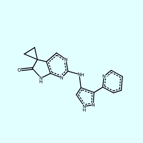 O=C1Nc2nc(Nc3c[nH]nc3-c3ccccn3)ncc2C12CC2